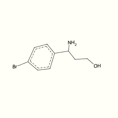 NC(CCO)c1ccc(Br)cc1